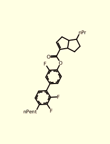 CCCCCc1ccc(-c2ccc(OC(=O)C3=CCC4C(CCC)CCC34)c(F)c2)c(F)c1F